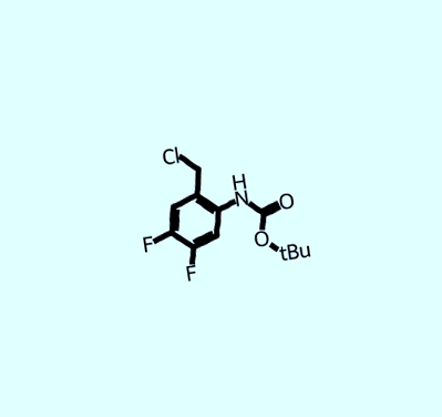 CC(C)(C)OC(=O)Nc1cc(F)c(F)cc1CCl